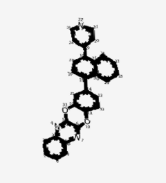 c1ccc2nc3c(nc2c1)Oc1ccc(-c2ccc(-c4ccncc4)c4ccccc24)cc1O3